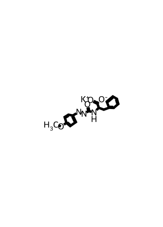 COc1ccc(N=NC(=O)NC(Cc2ccccc2)C(=O)[O-])cc1.[K+]